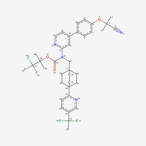 CC(C)(C#N)Oc1ccc(-c2ccnc(N(CC34CCC(c5ccc(C(C)(F)F)cn5)(CC3)CC4)C(=O)OC(C)(C)C(F)(F)F)c2)cc1